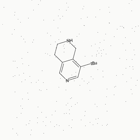 CC(C)(C)c1cncc2c1CNCC2